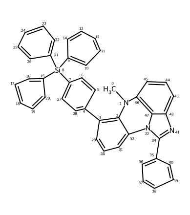 CN1c2c(-c3ccc([Si](c4ccccc4)(c4ccccc4)c4ccccc4)cc3)cccc2-n2c(-c3ccccc3)nc3cccc1c32